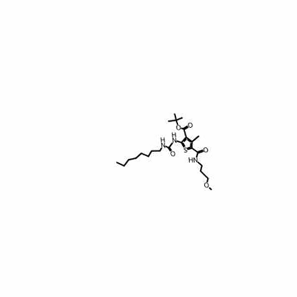 CCCCCCCCNC(=O)Nc1sc(C(=O)NCCCOC)c(C)c1C(=O)OC(C)(C)C